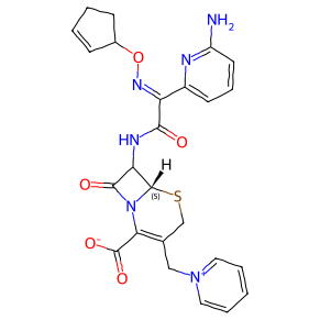 Nc1cccc(C(=NOC2C=CCC2)C(=O)NC2C(=O)N3C(C(=O)[O-])=C(C[n+]4ccccc4)CS[C@@H]23)n1